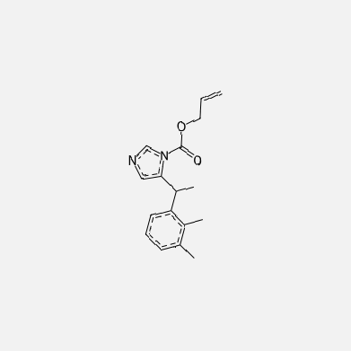 C=CCOC(=O)n1cncc1C(C)c1cccc(C)c1C